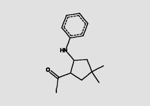 CC1(C)CC(Nc2ccccc2)C(C(=O)I)C1